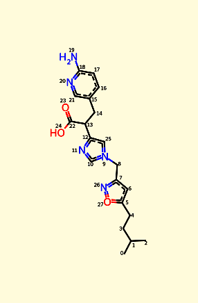 CC(C)CCc1cc(Cn2cnc(C(Cc3ccc(N)nc3)C(=O)O)c2)no1